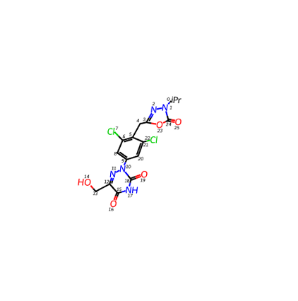 CC(C)n1nc(Cc2c(Cl)cc(-n3nc(CO)c(=O)[nH]c3=O)cc2Cl)oc1=O